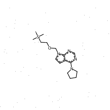 C[Si](C)(C)CCOCn1ccc2c(N3CCCC3)ncnc21